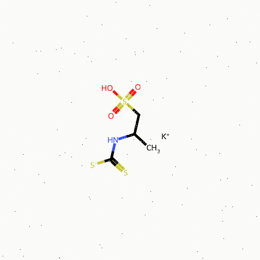 CC(CS(=O)(=O)O)NC(=S)[S-].[K+]